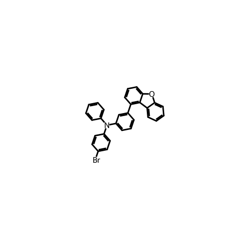 Brc1ccc(N(c2ccccc2)c2cccc(-c3cccc4oc5ccccc5c34)c2)cc1